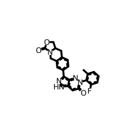 Cc1cccc(F)c1-n1nc2c(-c3ccc4c(c3)CN3C(=O)OCC3C4)n[nH]c2cc1=O